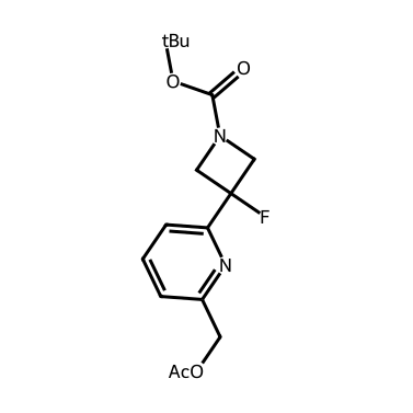 CC(=O)OCc1cccc(C2(F)CN(C(=O)OC(C)(C)C)C2)n1